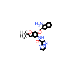 CC1(C)Cc2cc(NC(=O)c3cnn4cccnc34)c(OC[C@@H]3Cc4ccccc4[C@H]3N)cc2O1